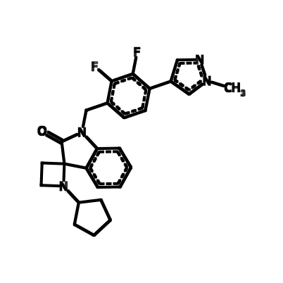 Cn1cc(-c2ccc(CN3C(=O)C4(CCN4C4CCCC4)c4ccccc43)c(F)c2F)cn1